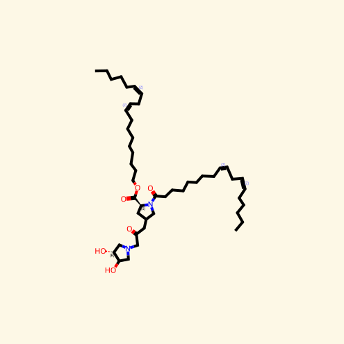 CCCCC/C=C\C/C=C\CCCCCCCCOC(=O)[C@@H]1CC(CC(=O)CN2CC(O)[C@H](O)C2)CN1C(=O)CCCCCCC/C=C\C/C=C\CCCCC